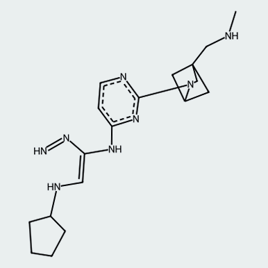 CNCC12CC(C1)N(c1nccc(N/C(=C/NC3CCCC3)N=N)n1)C2